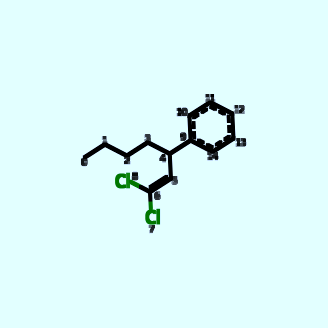 CCCCC(C=C(Cl)Cl)c1ccccc1